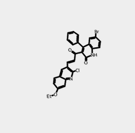 CCOc1ccc2cc(C=CC(=O)c3c(-c4ccccc4)c4cc(Br)ccc4[nH]c3=O)c(Cl)nc2c1